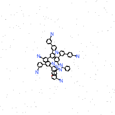 N#Cc1ccc(-c2ccc(-n3c4ccc(-c5cccc(C#N)c5)cc4c4cc(-c5cccc(C#N)c5)ccc43)c(-c3ccc(-n4c5ccc(-c6cccc(C#N)c6)cc5c5cc(-c6cccc(C#N)c6)ccc54)c(-c4nc(-c5ccccc5)nc(-c5ccccc5)n4)c3)c2)cc1